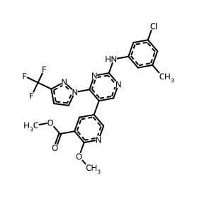 COC(=O)c1cc(-c2cnc(Nc3cc(C)cc(Cl)c3)nc2-n2ccc(C(F)(F)F)n2)cnc1OC